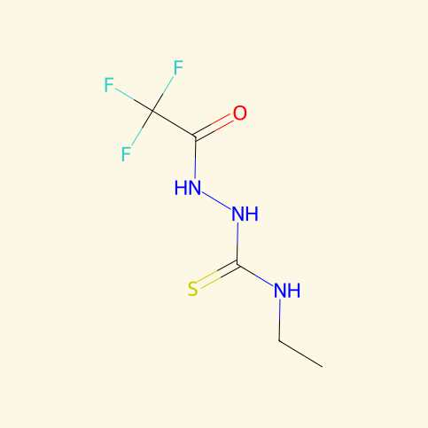 CCNC(=S)NNC(=O)C(F)(F)F